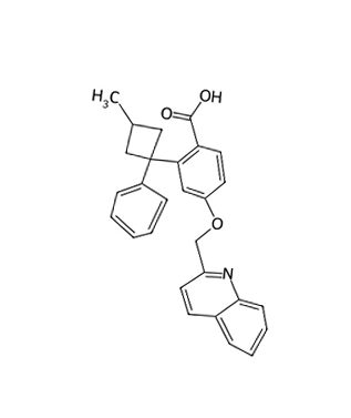 CC1CC(c2ccccc2)(c2cc(OCc3ccc4ccccc4n3)ccc2C(=O)O)C1